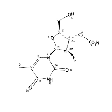 Cc1cn([C@H]2O[C@@H](CO)[C@H](OC(=O)O)[C@H]2F)c(=O)[nH]c1=O